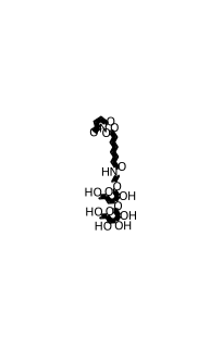 O=C(CCCCCCC(=O)ON1C(=O)CCC1=O)NCCOC1OC(CO)CC(O[C@H]2OC(CO)[C@@H](O)C(O)C2O)C1O